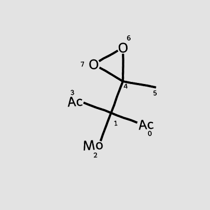 CC(=O)[C]([Mo])(C(C)=O)C1(C)OO1